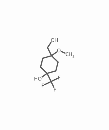 COC1(CO)CCC(O)(C(F)(F)F)CC1